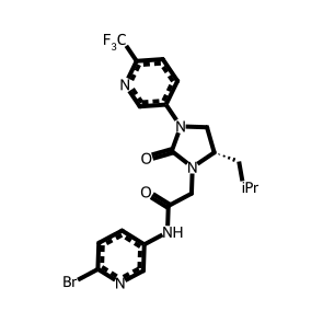 CC(C)C[C@H]1CN(c2ccc(C(F)(F)F)nc2)C(=O)N1CC(=O)Nc1ccc(Br)nc1